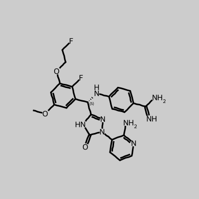 COc1cc(OCCF)c(F)c([C@H](Nc2ccc(C(=N)N)cc2)c2nn(-c3cccnc3N)c(=O)[nH]2)c1